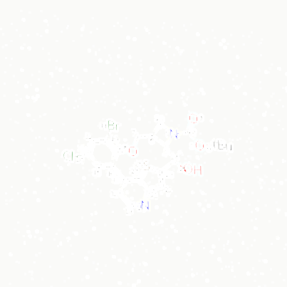 CC(C)(C)OC(=O)N1CC(COc2c(Br)cc(Cl)cc2-c2ccnc3cc(CO)sc23)C1